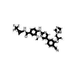 COc1cc(C(=O)NC2CC2C(F)(F)F)ccc1Nc1ncc(-c2ccc(C#N)c(OC(C)Cn3cncn3)c2)cn1